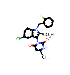 Cc1cc(=O)n(-c2c(C(=O)O)n(Cc3ccccc3F)c3ccc(Cl)cc23)c(=O)[nH]1